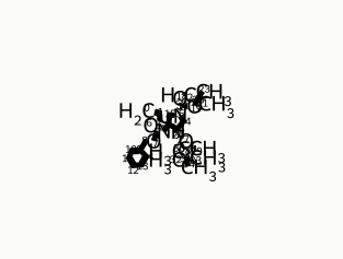 C=CC[C@@]1(NC(=O)OCc2ccccc2)CN(C(=O)OC(C)(C)C)C[C@@H]1CO[Si](C)(C)C(C)(C)C